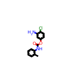 Cc1ccccc1NC(=O)Oc1ccc(Cl)c(N)c1